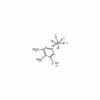 Cc1cccc(I)c1C.F[P-](F)(F)(F)(F)F.[H+]